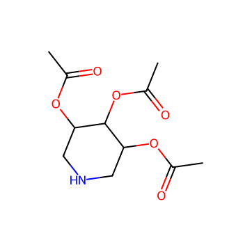 CC(=O)OC1CNCC(OC(C)=O)C1OC(C)=O